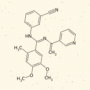 C=C(/N=C(/Nc1cccc(C#N)c1)c1cc(OC)c(OC)cc1C)c1cccnc1